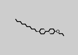 CCCCCCCCCC[C@H]1CC[C@H]([C@H]2CC[C@H](OCCC)CC2)CC1